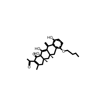 C=C1C2=C(O)[C@@]3(O)C(=O)C(C(C)=O)=C(C)C[C@@]3(C)C[C@@]2(C)Cc2c(OCCCC)ccc(O)c21